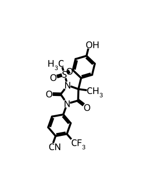 CC1(c2ccc(O)cc2)C(=O)N(c2ccc(C#N)c(C(F)(F)F)c2)C(=O)N1S(C)(=O)=O